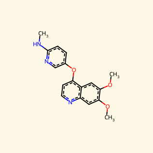 CNc1ccc(Oc2ccnc3cc(OC)c(OC)cc23)cn1